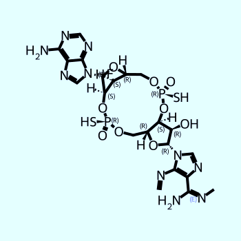 C=Nc1c(/C(N)=N\C)ncn1[C@@H]1O[C@@H]2CO[P@@](=O)(S)O[C@@H]3[C@@H](F)[C@@H](CO[P@@](=O)(S)O[C@H]2[C@H]1O)O[C@H]3n1cnc2c(N)ncnc21